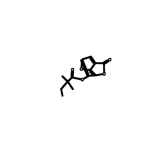 CCC(C)(C)C(=O)Oc1c2c3oc1cc3C(=O)O2